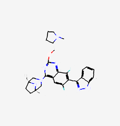 CN1CCC[C@H]1COc1nc(N2C[C@H]3CC[C@@H](C2)N3)c2cc(F)c(-c3n[nH]c4ccccc34)c(F)c2n1